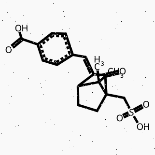 CC1(C)C2CCC1(CS(=O)(=O)O)C(=O)C2=Cc1ccc(C(=O)O)cc1